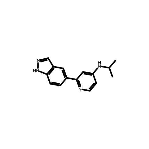 CC(C)Nc1ccnc(-c2ccc3[nH]ncc3c2)c1